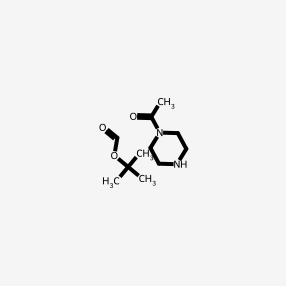 CC(=O)N1CCNCC1.CC(C)(C)OC=O